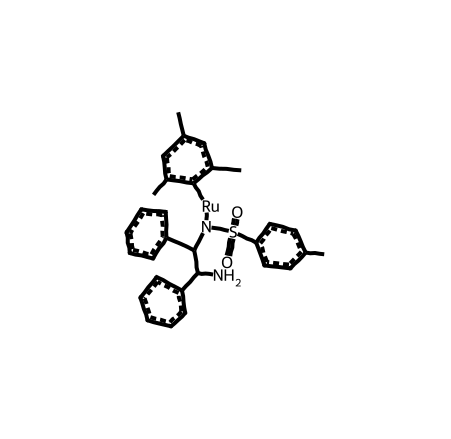 Cc1ccc(S(=O)(=O)[N]([Ru][c]2c(C)cc(C)cc2C)C(c2ccccc2)C(N)c2ccccc2)cc1